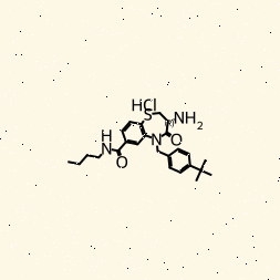 CCCCNC(=O)c1ccc2c(c1)N(Cc1ccc(C(C)(C)C)cc1)C(=O)[C@@H](N)CS2.Cl